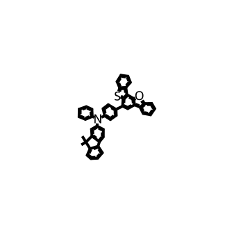 CC1(C)c2ccccc2-c2ccc(N(c3ccccc3)c3ccc(-c4cc5c6ccccc6oc5c5c4sc4ccccc45)cc3)cc21